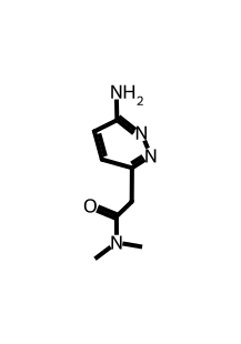 CN(C)C(=O)Cc1ccc(N)nn1